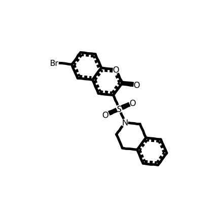 O=c1oc2ccc(Br)cc2cc1S(=O)(=O)N1CCc2ccccc2C1